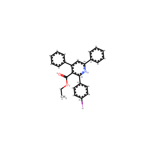 CCOC(=O)c1c(-c2ccccc2)cc(-c2ccccc2)nc1-c1ccc(I)cc1